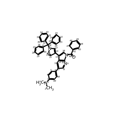 CN(C)c1ccc(-c2cnc3c(c2)c(-c2cnn(C(c4ccccc4)(c4ccccc4)c4ccccc4)c2)cn3C(=O)c2ccccc2)cc1